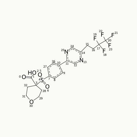 O=C(O)C1(S(=O)(=O)c2ccc(-c3cnc(CCC(F)(F)C(F)(F)F)cn3)cc2)CCOCC1